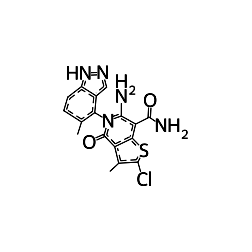 Cc1ccc2[nH]ncc2c1-n1c(N)c(C(N)=O)c2sc(Cl)c(C)c2c1=O